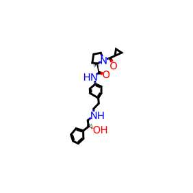 O=C(Nc1ccc(CCNC[C@H](O)c2ccccc2)cc1)[C@H]1CCCN1C(=O)C1CC1